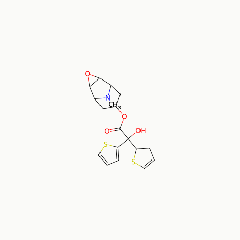 CN1C2CC(OC(=O)C(O)(c3cccs3)C3CC=CS3)CC1C1OC12